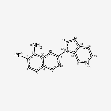 Nc1c([18F])ccc2cnc(-n3ccc4ccncc43)cc12